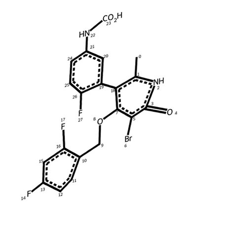 Cc1[nH]c(=O)c(Br)c(OCc2ccc(F)cc2F)c1-c1cc(NC(=O)O)ccc1F